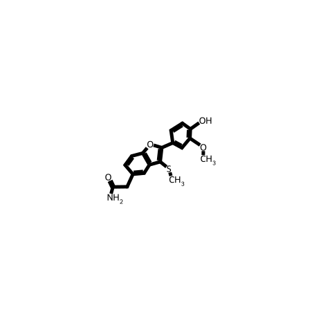 COc1cc(-c2oc3ccc(CC(N)=O)cc3c2SC)ccc1O